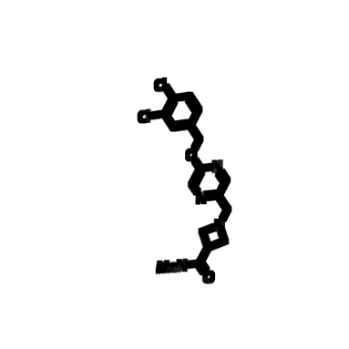 CNC(=O)C1CN(Cc2cnc(OCc3ccc(Cl)c(Cl)c3)cn2)C1